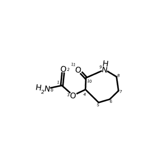 NC(=O)OC1CCCCNC1=O